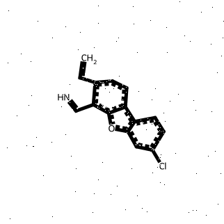 C=Cc1ccc2c(oc3cc(Cl)ccc32)c1C=N